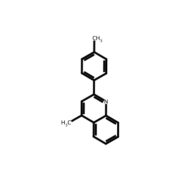 Cc1ccc(-c2cc(C)c3ccccc3n2)cc1